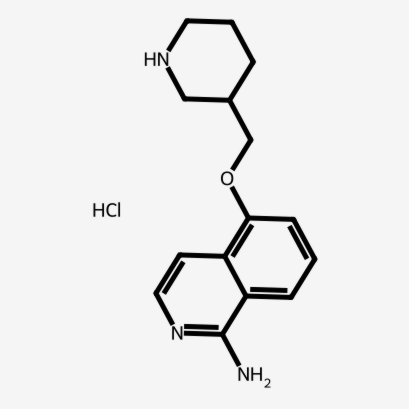 Cl.Nc1nccc2c(OCC3CCCNC3)cccc12